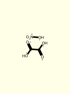 O=C(O)C(=O)O.O=[N+]([O-])O